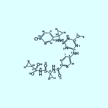 COc1nc(Nc2ccc(C(=O)NC3(C(=O)NS(=O)(=O)C4CC4)CC3)cc2)nc(NC2(c3ccc(Cl)cc3)CC2)n1